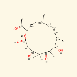 CC(=O)C1CC=C(C)CC=CC(C)C(O)C(C)C(=O)C(C)(C)C(O)CC(=O)O1